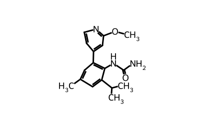 COc1cc(-c2cc(C)cc(C(C)C)c2NC(N)=O)ccn1